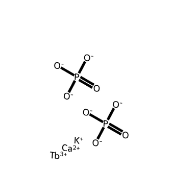 O=P([O-])([O-])[O-].O=P([O-])([O-])[O-].[Ca+2].[K+].[Tb+3]